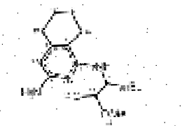 CCCCC(Nc1nc(N)nc2c1CCCC2)C(=O)OC